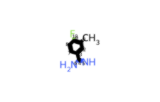 Cc1cc(C(=N)N)ccc1F